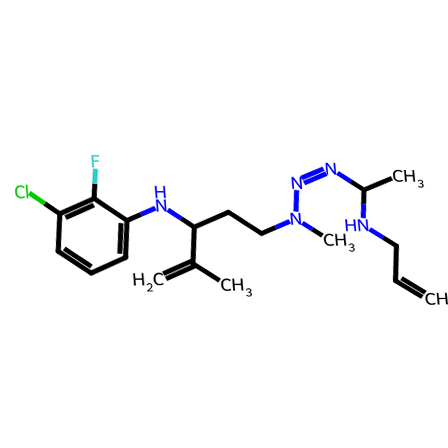 C=CCNC(C)/N=N\N(C)CCC(Nc1cccc(Cl)c1F)C(=C)C